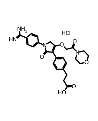 Cl.N=C(N)c1ccc(N2CC(OCC(=O)N3CCOCC3)=C(c3ccc(CCC(=O)O)cc3)C2=O)cc1